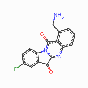 NCc1cccc2nc3n(c(=O)c12)-c1ccc(F)cc1C3=O